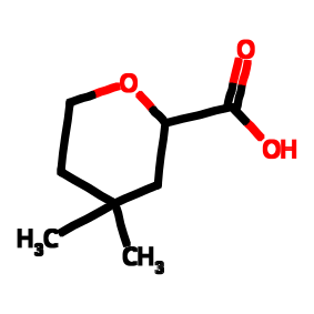 CC1(C)CCOC(C(=O)O)C1